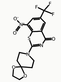 O=c1nc(N2CCC3(CC2)OCCO3)sc2c([N+](=O)[O-])cc(C(F)(F)F)cc12